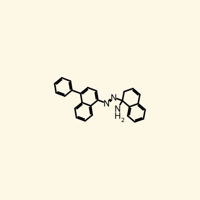 NC1(N=Nc2ccc(-c3ccccc3)c3ccccc23)CC=Cc2ccccc21